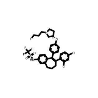 O=S(=O)(Nc1ccc2c(c1)CCCC(c1ccc(Cl)cc1Cl)=C2c1ccc(O[C@H]2CCN(CCCF)C2)cc1)C(F)(F)F